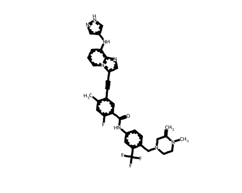 C=C1CN(Cc2ccc(NC(=O)c3cc(C#Cc4cnc5c(Nc6cn[nH]c6)cccn45)c(C)cc3F)cc2C(F)(F)F)CCN1C